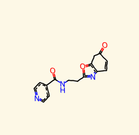 O=C1C=Cc2nc(CCNC(=O)c3ccncc3)oc2C1